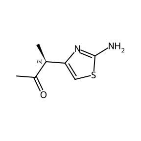 CC(=O)[C@@H](C)c1csc(N)n1